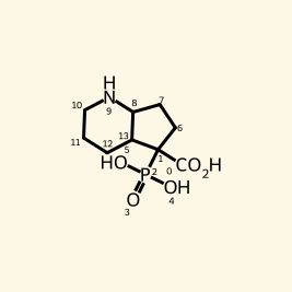 O=C(O)C1(P(=O)(O)O)CCC2NCCCC21